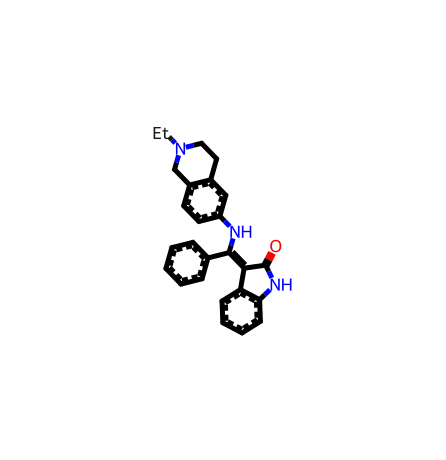 CCN1CCc2cc(NC(=C3C(=O)Nc4ccccc43)c3ccccc3)ccc2C1